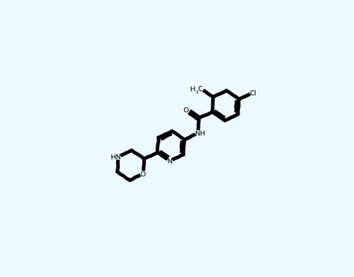 CC1CC(Cl)=CC=C1C(=O)Nc1ccc(C2CNCCO2)nc1